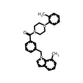 Cc1ccccc1N1CCN(C(=O)c2cccc(Cn3ccc4cccc(C)c43)c2)CC1